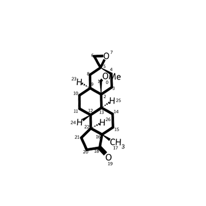 COC[C@]12CC[C@]3(CO3)C[C@@H]1CC[C@@H]1[C@@H]2CC[C@]2(C)C(=O)CC[C@@H]12